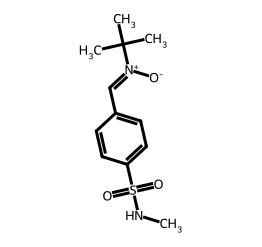 CNS(=O)(=O)c1ccc(/C=[N+](\[O-])C(C)(C)C)cc1